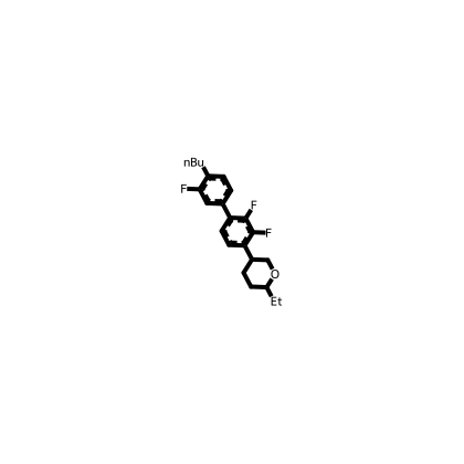 CCCCc1ccc(-c2ccc(C3CCC(CC)OC3)c(F)c2F)cc1F